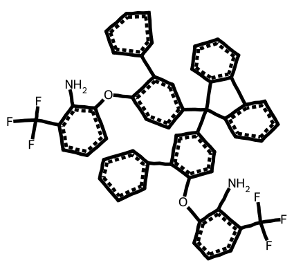 Nc1c(Oc2ccc(C3(c4ccc(Oc5cccc(C(F)(F)F)c5N)c(-c5ccccc5)c4)c4ccccc4-c4ccccc43)cc2-c2ccccc2)cccc1C(F)(F)F